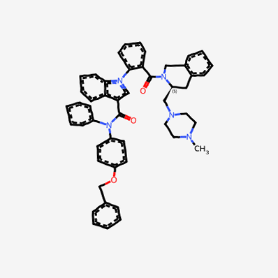 CN1CCN(C[C@@H]2Cc3ccccc3CN2C(=O)c2ccccc2-n2cc(C(=O)N(c3ccccc3)c3ccc(OCc4ccccc4)cc3)c3ccccc32)CC1